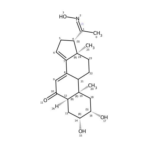 C/C(=N/O)[C@H]1CC=C2C3=CC(=O)[C@@H]4C[C@@H](O)[C@@H](O)C[C@]4(C)C3CC[C@@]21C